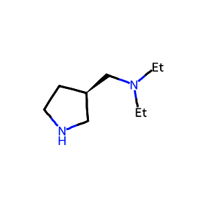 CCN(CC)C[C@@H]1CCNC1